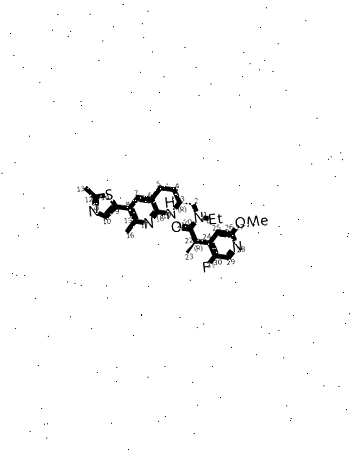 CCN(C[C@H]1CCc2cc(-c3cnc(C)s3)c(C)nc2N1)C(=O)[C@H](C)c1cc(OC)ncc1F